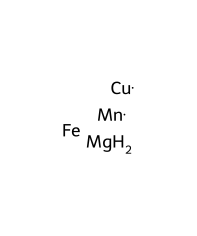 [Cu].[Fe].[MgH2].[Mn]